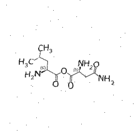 CC(C)C[C@H](N)C(=O)OC(=O)[C@@H](N)CC(N)=O